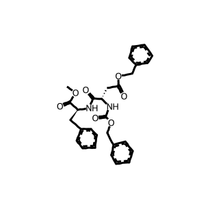 COC(=O)[C@H](Cc1ccccc1)NC(=O)[C@H](CC(=O)OCc1ccccc1)NC(=O)OCc1ccccc1